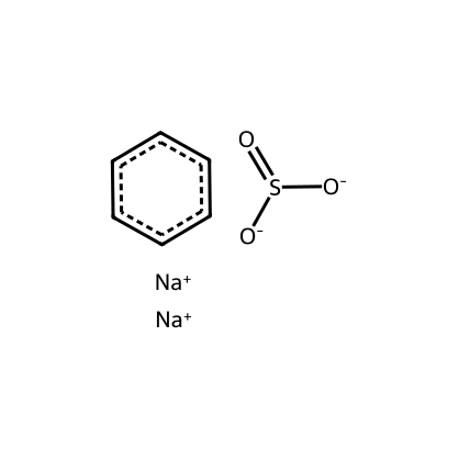 O=S([O-])[O-].[Na+].[Na+].c1ccccc1